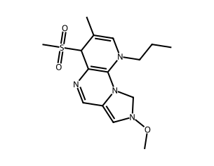 CCCN1C=C(C)C(S(C)(=O)=O)C2=C1N1CN(OC)C=C1C=N2